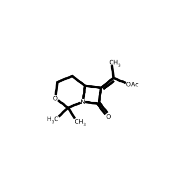 CC(=O)OC(C)=C1C(=O)N2C1CCOC2(C)C